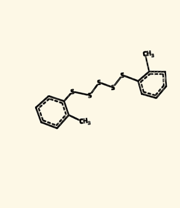 Cc1ccccc1SSSSSc1ccccc1C